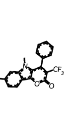 Cn1c2cc(Cl)ccc2c2oc(=O)c(C(F)(F)F)c(-c3ccccc3)c21